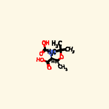 C[C@@H](OC(C)(C)C)[C@H](NC(=O)O)C(=O)O